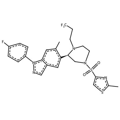 Cc1nc(S(=O)(=O)N2CCN(CCC(F)(F)F)[C@H](c3cc4cnn(-c5ccc(F)cc5)c4cc3C)C2)cs1